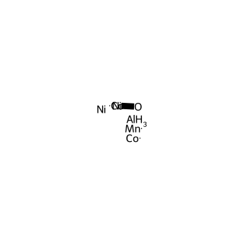 [AlH3].[Co].[Co].[Mn].[Ni].[O]=[Ni]